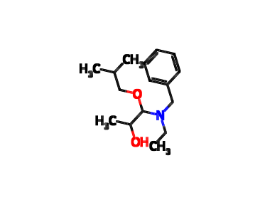 CCN(Cc1ccccc1)C(OCC(C)C)C(C)O